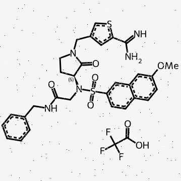 COc1ccc2ccc(S(=O)(=O)N(CC(=O)NCc3ccccc3)[C@H]3CCN(Cc4csc(C(=N)N)c4)C3=O)cc2c1.O=C(O)C(F)(F)F